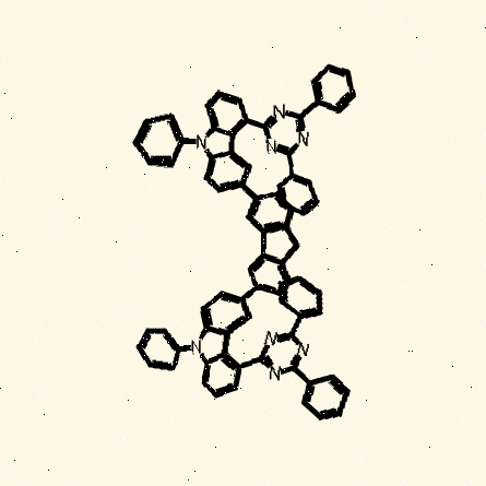 c1ccc(-c2nc(-c3ccccc3)nc(-c3cccc4c3c3cc(-c5ccc6c(c5)-c5cc(-c7ccc8c(c7)c7c(-c9nc(-c%10ccccc%10)nc(-c%10ccccc%10)n9)cccc7n8-c7ccccc7)ccc5C6)ccc3n4-c3ccccc3)n2)cc1